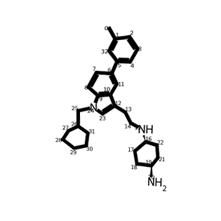 Cc1cccc(-c2ccc3c(c2)c(CCN[C@H]2CC[C@H](N)CC2)cn3CC2CCCCC2)c1